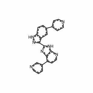 c1cncc(-c2ccnc3[nH]c(-c4n[nH]c5ccc(-c6ccncc6)cc45)nc23)c1